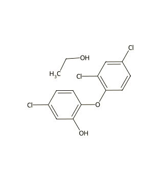 CCO.Oc1cc(Cl)ccc1Oc1ccc(Cl)cc1Cl